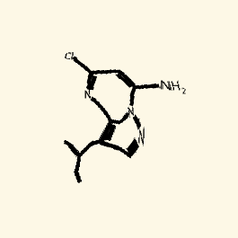 CC(C)c1cnn2c(N)cc(Cl)nc12